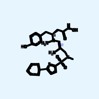 CN(C/C(N)=C/N(N)[C@H](CC(=O)NO)Cc1ccc(O)cc1)S(=O)(=O)c1ccc(-c2ccccc2)s1